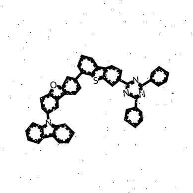 c1ccc(-c2nc(-c3ccccc3)nc(-c3ccc4c(c3)sc3c(-c5ccc6c(c5)oc5ccc(-n7c8ccccc8c8ccccc87)cc56)cccc34)n2)cc1